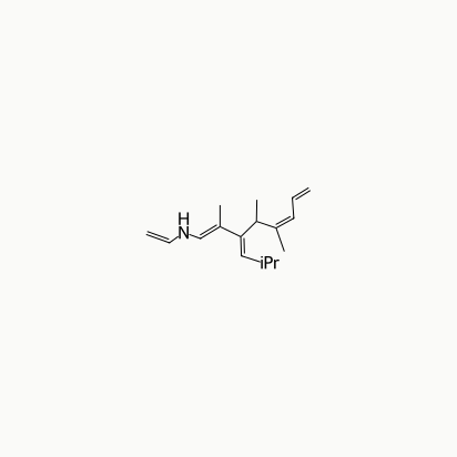 C=C/C=C(/C)C(C)C(=C\C(C)C)/C(C)=C/NC=C